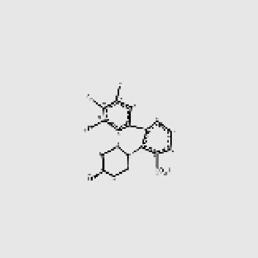 CC[C@H]1CC[C@H](c2c(C(=O)O)cccc2-c2cc(F)c(F)c(F)c2)CC1